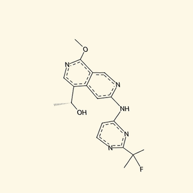 COc1ncc([C@@H](C)O)c2cc(Nc3ccnc(C(C)(C)F)n3)ncc12